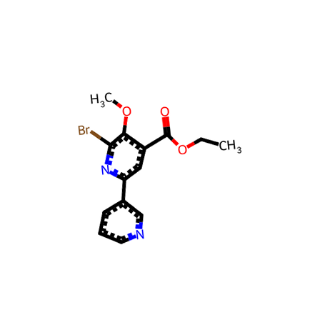 CCOC(=O)c1cc(-c2cccnc2)nc(Br)c1OC